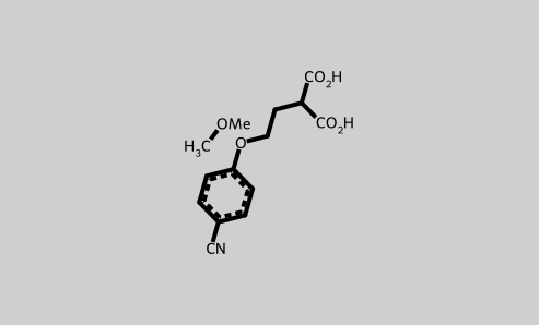 COC.N#Cc1ccc(OCCC(C(=O)O)C(=O)O)cc1